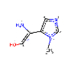 Cn1cncc1/C(N)=C/O